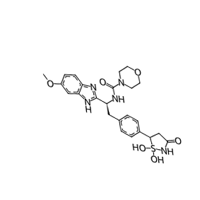 COc1ccc2nc([C@H](Cc3ccc(C4CC(=O)NS4(O)O)cc3)NC(=O)N3CCOCC3)[nH]c2c1